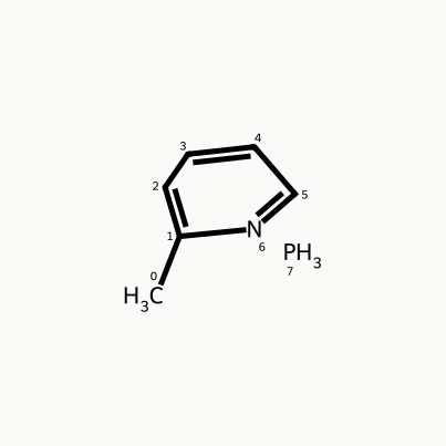 Cc1ccccn1.P